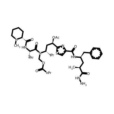 CCCC(=O)OCN(C(=O)[C@@H](NC(=O)[C@H]1CCCCN1C)C(C)CC)[C@H](C[C@@H](OC(C)=O)c1nc(C(=O)N[C@@H](Cc2ccccc2)C[C@H](C)C(=O)NN)cs1)C(C)C